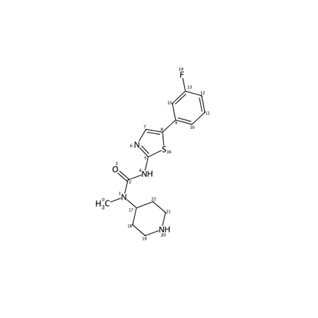 CN(C(=O)Nc1ncc(-c2cccc(F)c2)s1)C1CCNCC1